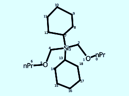 CCCOC[Si](COCCC)(C1CCCCC1)C1CCCCC1